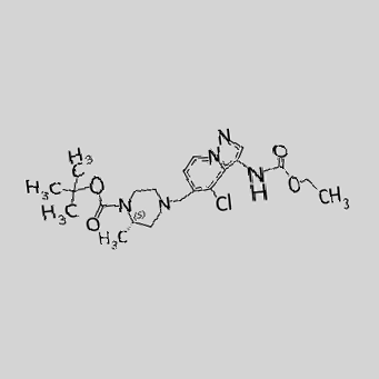 CCOC(=O)Nc1cnn2ccc(CN3CCN(C(=O)OC(C)(C)C)[C@@H](C)C3)c(Cl)c12